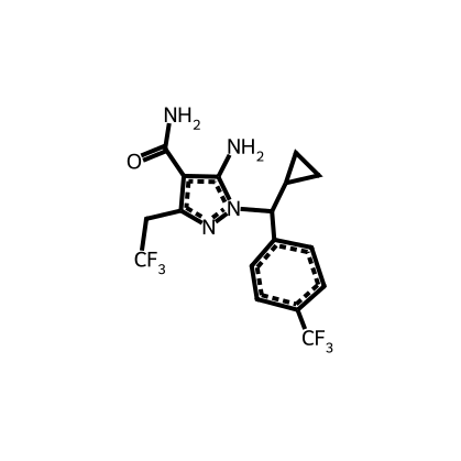 NC(=O)c1c(CC(F)(F)F)nn(C(c2ccc(C(F)(F)F)cc2)C2CC2)c1N